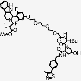 COC(=O)[C@@H](C)CN1[C@H](c2c(F)cc(OCCOCCOCCOCC(=O)N[C@H](C(=O)N3C[C@H](O)C[C@H]3C(=O)NCc3ccc(-c4scnc4C)cc3)C(C)(C)C)cc2F)c2[nH]c3ccccc3c2C[C@H]1C